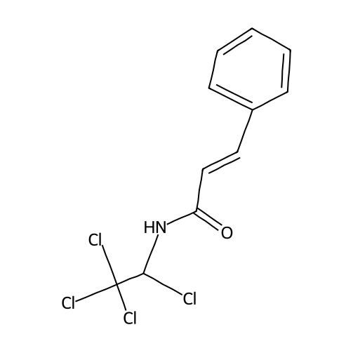 O=C(/C=C/c1ccccc1)NC(Cl)C(Cl)(Cl)Cl